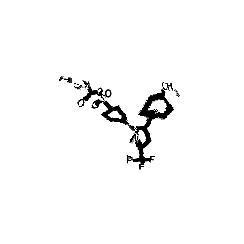 Cc1ccc(-c2cc(C(F)(F)F)nn2-c2ccc(S(=O)(=O)OC(N)=O)cc2)cc1